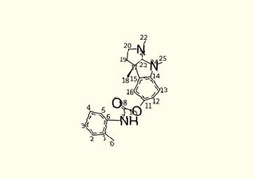 Cc1ccccc1NC(=O)Oc1ccc2c(c1)[C@]1(C)CCN(C)C1N2C